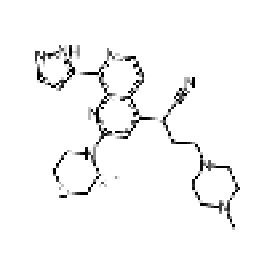 C[C@@H]1COCCN1c1cc(C(C#N)CCN2CCN(C)CC2)c2ccnc(-c3ccn[nH]3)c2n1